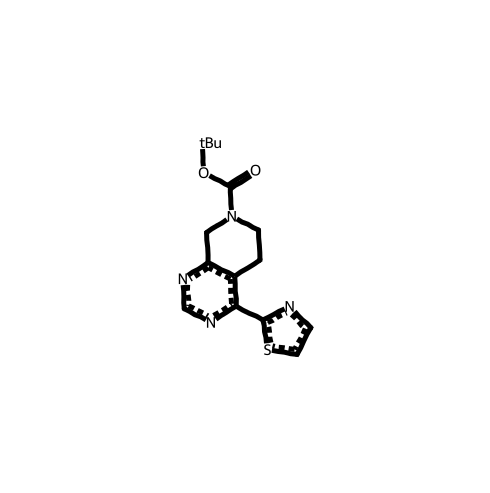 CC(C)(C)OC(=O)N1CCc2c(ncnc2-c2nccs2)C1